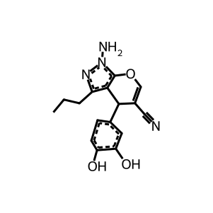 CCCc1nn(N)c2c1C(c1ccc(O)c(O)c1)C(C#N)=CO2